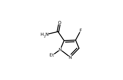 CCn1ncc(F)c1C(N)=O